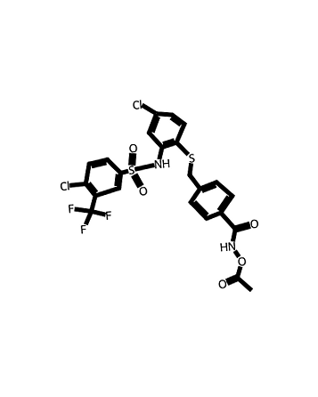 CC(=O)ONC(=O)c1ccc(CSc2ccc(Cl)cc2NS(=O)(=O)c2ccc(Cl)c(C(F)(F)F)c2)cc1